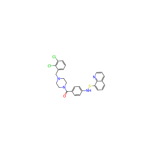 O=C(c1ccc(NSc2cccc3cccnc23)cc1)N1CCN(Cc2cccc(Cl)c2Cl)CC1